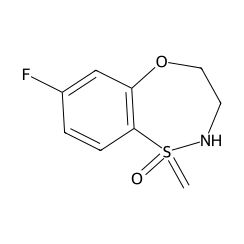 C=S1(=O)NCCOc2cc(F)ccc21